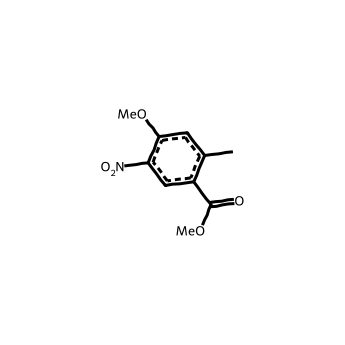 COC(=O)c1cc([N+](=O)[O-])c(OC)cc1C